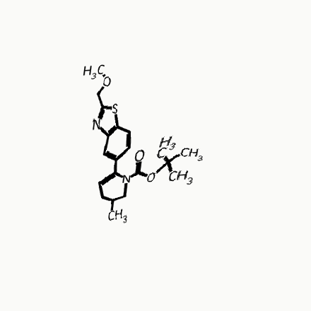 COCc1nc2cc(C3=CCC(C)CN3C(=O)OC(C)(C)C)ccc2s1